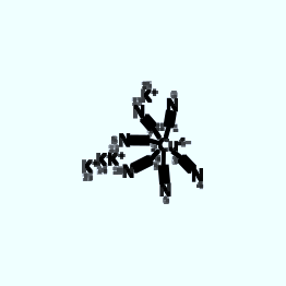 N#[C][Cu-4]([C]#N)([C]#N)([C]#N)([C]#N)[C]#N.[K+].[K+].[K+].[K+]